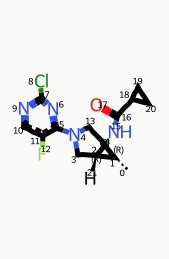 C[C@@H]1[C@@H]2CN(c3nc(Cl)ncc3F)C[C@@]12NC(=O)C1CC1